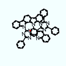 c1ccc(-c2nc(-c3ccccc3)nc(-c3ccccc3-n3c4ccccc4c4ccc5c6ccccc6n(-c6nc(-c7ccccc7)nc(-c7ccc8ccccc8n7)n6)c5c43)n2)cc1